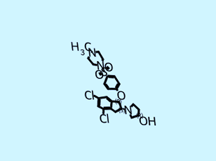 CN1CCN(S(=O)(=O)c2ccc(O[C@H]3c4cc(Cl)cc(Cl)c4C[C@@H]3N3CC[C@@H](O)C3)cc2)CC1